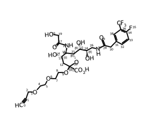 C#CCOCCOCCO[C@]1(C(=O)O)C[C@H](O)[C@@H](NC(=O)CO)[C@H]([C@H](O)[C@H](O)CNC(=O)Cc2ccc(F)c(C(F)(F)F)c2)O1